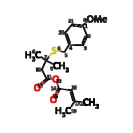 COc1ccc(CSC(C)(C)CC(=O)OC(=O)C=C(C)C)cc1